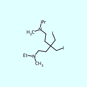 CCN(C)CCC(CI)(CI)CCN(C)C(C)C